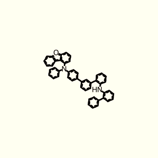 c1ccc(-c2ccccc2Nc2ccccc2-c2cccc(-c3ccc(N(c4ccccc4)c4cccc5oc6ccccc6c45)cc3)c2)cc1